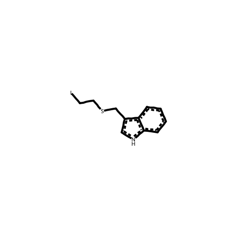 ICCSCc1c[nH]c2ccccc12